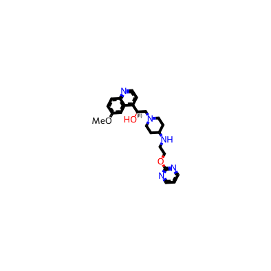 COc1ccc2nccc([C@@H](O)CN3CCC(NCCOc4ncccn4)CC3)c2c1